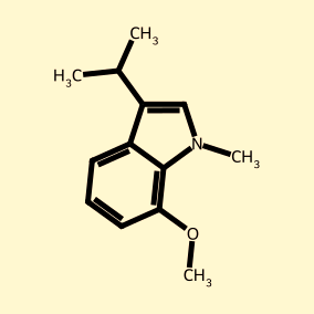 COc1cccc2c(C(C)C)cn(C)c12